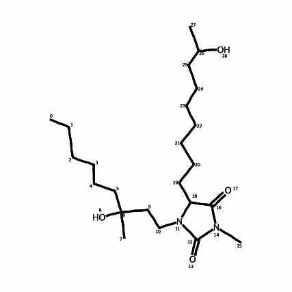 CCCCCCC(C)(O)CCN1C(=O)N(C)C(=O)C1CCCCCCCC(C)O